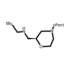 CCCCCN1CCO[C@@H](CNCC(C)(C)C)C1